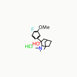 COc1cc(C2(O)CC3CCC(C)(C3)C2N(C)C)ccc1F.Cl